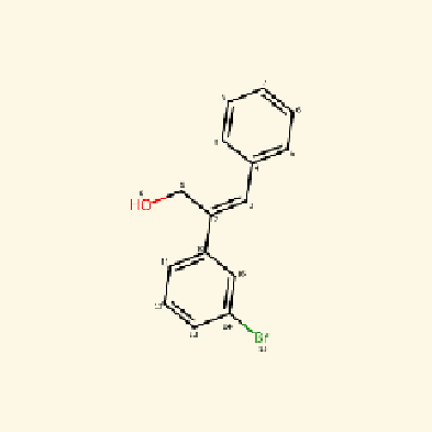 OCC(=Cc1ccccc1)c1cccc(Br)c1